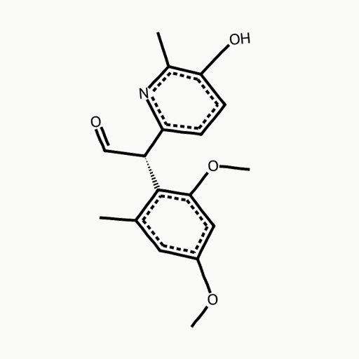 COc1cc(C)c([C@H](C=O)c2ccc(O)c(C)n2)c(OC)c1